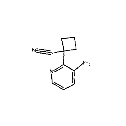 N#CC1(c2ncccc2P)CCC1